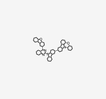 c1ccc2c(c1)Oc1cccc3c4cc(-c5ccc6c(c5)c5ccccc5n6-c5nc(-c6ccc7oc8ccccc8c7c6)c6ccccc6n5)ccc4n-2c13